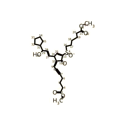 COC(=O)CCCC#CC=C1C(=O)C([S+]([O-])CCCCCC(=O)OC)=CC1C=CC(O)C1CCCC1